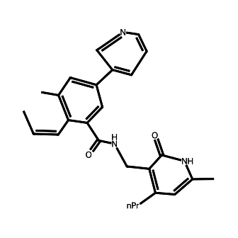 C/C=C\c1c(C)cc(-c2cccnc2)cc1C(=O)NCc1c(CCC)cc(C)[nH]c1=O